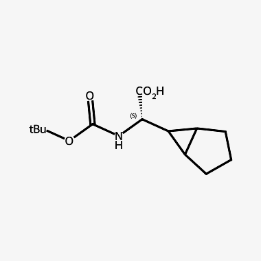 CC(C)(C)OC(=O)N[C@H](C(=O)O)C1C2CCCC21